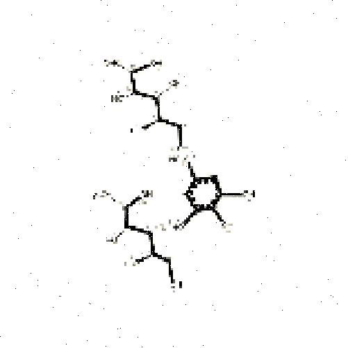 O=C(O)c1cc(O)c(O)c(O)c1.O=C[C@H](O)[C@@H](O)[C@H](O)[C@H](O)CO.O=C[C@H](O)[C@@H](O)[C@H](O)[C@H](O)CO